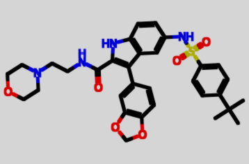 CC(C)(C)c1ccc(S(=O)(=O)Nc2ccc3[nH]c(C(=O)NCCN4CCOCC4)c(-c4ccc5c(c4)OCO5)c3c2)cc1